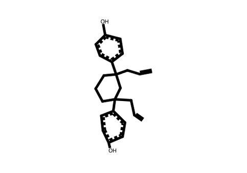 C=CCC1(c2ccc(O)cc2)CCCC(CC=C)(c2ccc(O)cc2)C1